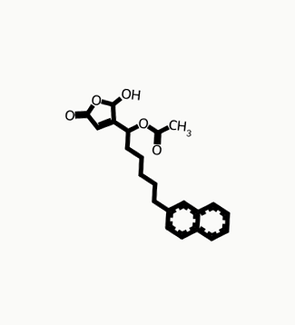 CC(=O)OC(CCCCCc1ccc2ccccc2c1)C1=CC(=O)OC1O